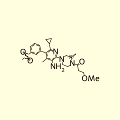 COCCC(=O)N1CCN(c2nc(C3CC3)c(-c3cccc(S(C)(=O)=O)c3)c(C)c2N)C[C@H]1C